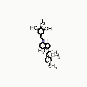 C=C1[C@H](O)CC(=C/C=C2\CCC[C@]3(C)[C@@H](C(C)CN4CCN(C)C[C@H]4C)CC[C@@H]23)C[C@H]1O